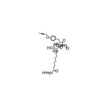 CC#CCOc1ccc(C[C@H](NC(=O)[C@@H](C=CCCCCCCC(=O)CCCCCCC)[C@@](O)(CCC)C(=O)O)C(=O)NOCC)cc1